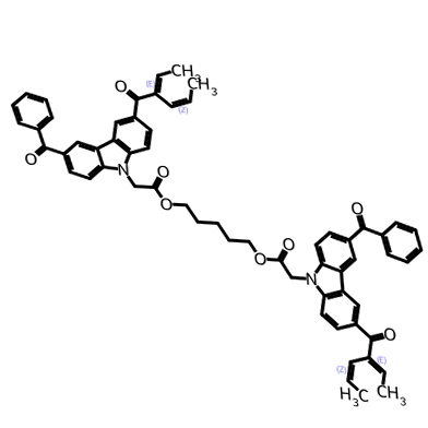 C/C=C\C(=C/C)C(=O)c1ccc2c(c1)c1cc(C(=O)c3ccccc3)ccc1n2CC(=O)OCCCCCOC(=O)Cn1c2ccc(C(=O)C(/C=C\C)=C/C)cc2c2cc(C(=O)c3ccccc3)ccc21